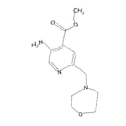 COC(=O)c1cc(CN2CCOCC2)ncc1N